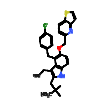 CC(C)(C)Cc1c(CC(C)(C)C(=O)O)[nH]c2ccc(OCc3ccc4sccc4n3)c(Cc3ccc(Cl)cc3)c12